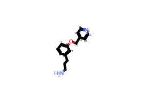 NCCCc1cccc(OCc2ccncc2)c1